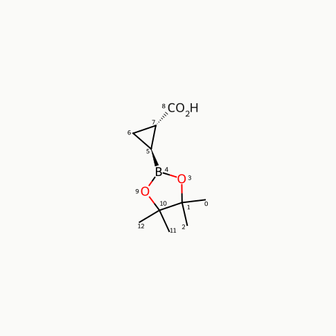 CC1(C)OB([C@H]2C[C@@H]2C(=O)O)OC1(C)C